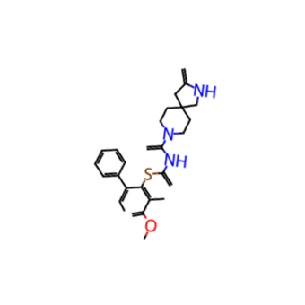 C=C1CC2(CCN(C(=C)NC(=C)SC(/C(=C\C)c3ccccc3)=C(\C)C(=C)OC)CC2)CN1